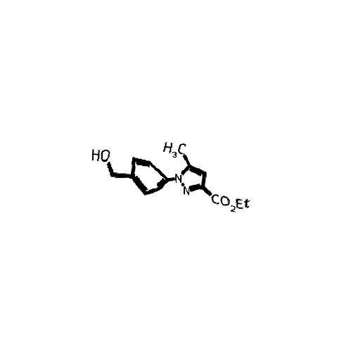 CCOC(=O)c1cc(C)n(-c2ccc(CO)cc2)n1